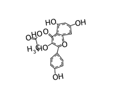 CC(=O)O.O=c1c(O)c(-c2ccc(O)cc2)oc2cc(O)cc(O)c12